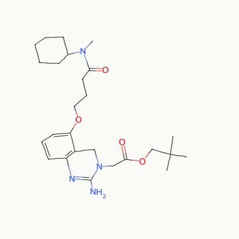 CN(C(=O)CCCOc1cccc2c1CN(CC(=O)OCC(C)(C)C)C(N)=N2)C1CCCCC1